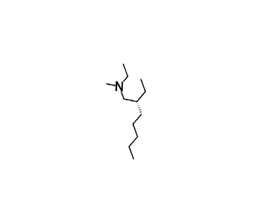 CCCCC[C@@H](CC)CN(C)CC